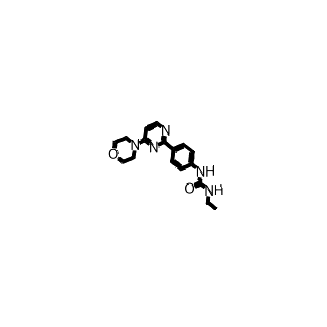 CCNC(=O)Nc1ccc(-c2nccc(N3CCOCC3)n2)cc1